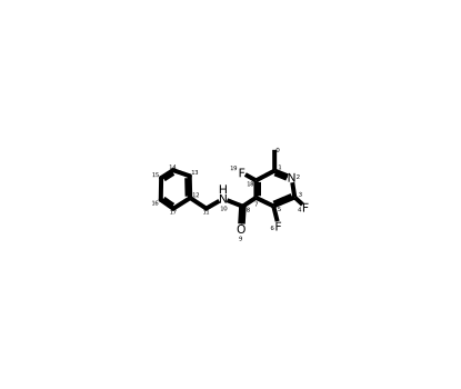 Cc1nc(F)c(F)c(C(=O)NCc2ccccc2)c1F